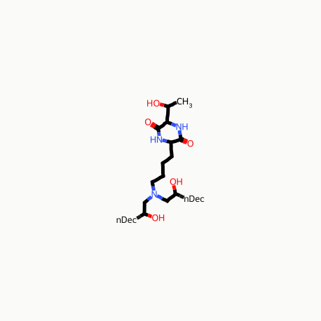 CCCCCCCCCCC(O)CN(CCCCC1NC(=O)C(C(C)O)NC1=O)CC(O)CCCCCCCCCC